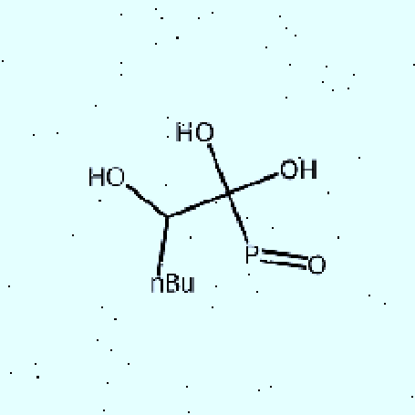 CCCCC(O)C(O)(O)P=O